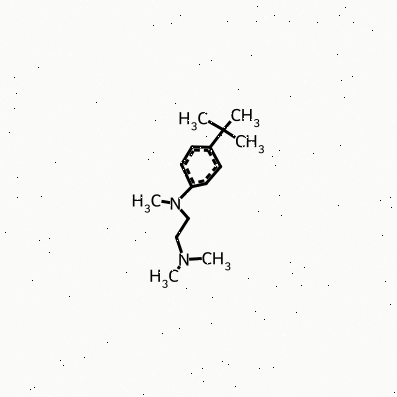 CN(C)CCN(C)c1ccc(C(C)(C)C)cc1